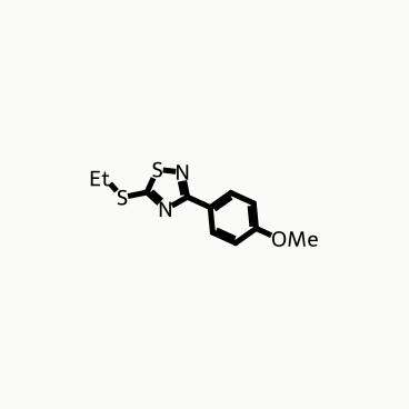 CCSc1nc(-c2ccc(OC)cc2)ns1